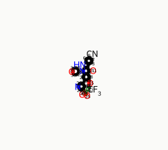 N#Cc1ccc2c(c1)[nH]c1c2c(=O)c2cc(OCC(F)(F)F)c(-c3cncc(S(=O)(=O)F)c3)cc2n1C1CCOCC1